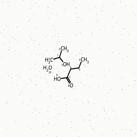 CC(C)O.CCCC(=O)O.O